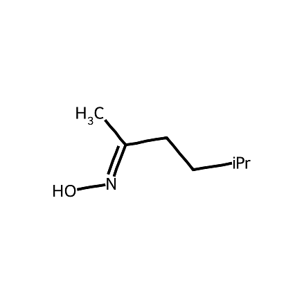 CC(CCC(C)C)=NO